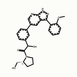 COc1ccccc1-c1n[nH]c2ncc(-c3cccc(C(O)C(=O)N4CCC[C@@H]4CO)c3)cc12